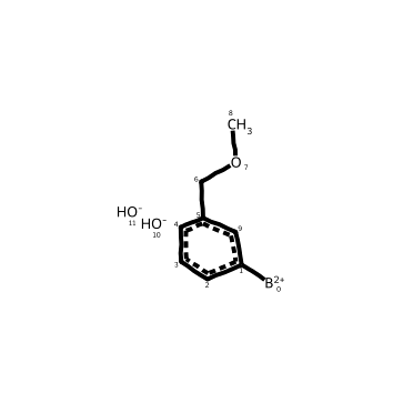 [B+2]c1cccc(COC)c1.[OH-].[OH-]